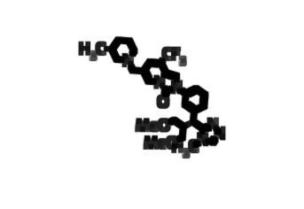 COCC(COC)[C@@H](c1cccc(-n2cc3c(C(F)(F)F)cc(CN4CCC[C@H](C)C4)cn3c2=O)c1)c1nncn1C